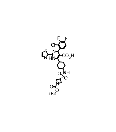 CC(C)(C)OC(=O)N1CC(S(=O)(=O)NC2CCC(C3=C(C(=O)O)C(c4ccc(F)c(F)c4Cl)N=C(c4nccs4)N3)CC2)C1